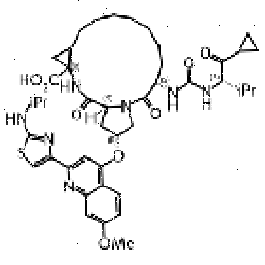 COc1ccc2c(O[C@@H]3C[C@H]4C(=O)N[C@]5(C(=O)O)CC5CCCCCCC[C@H](NC(=O)N[C@H](C(=O)C5CC5)C(C)C)C(=O)N4C3)cc(-c3csc(NC(C)C)n3)nc2c1